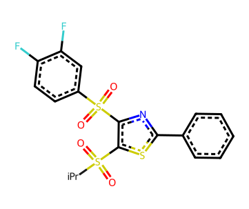 CC(C)S(=O)(=O)c1sc(-c2ccccc2)nc1S(=O)(=O)c1ccc(F)c(F)c1